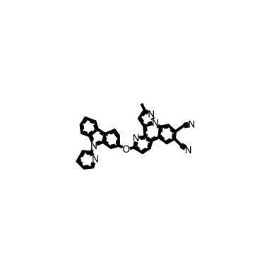 Cc1cc2c3nc(Oc4ccc5c6ccccc6n(-c6ccccn6)c5c4)ccc3c3cc(C#N)c(C#N)cc3n2n1